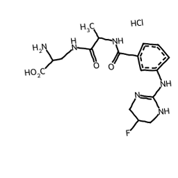 CC(NC(=O)c1cccc(NC2=NCC(F)CN2)c1)C(=O)NCC(N)C(=O)O.Cl